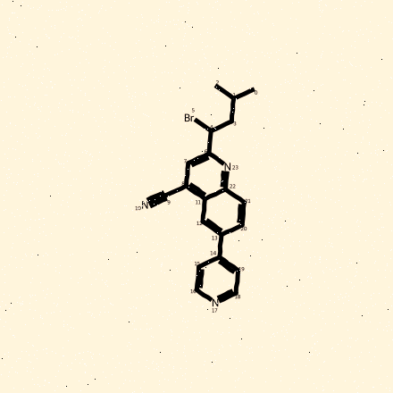 CC(C)CC(Br)c1cc(C#N)c2cc(-c3ccncc3)ccc2n1